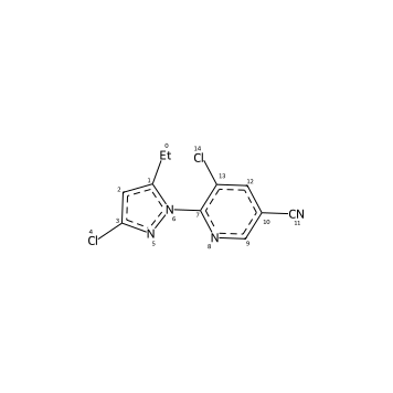 CCc1cc(Cl)nn1-c1ncc(C#N)cc1Cl